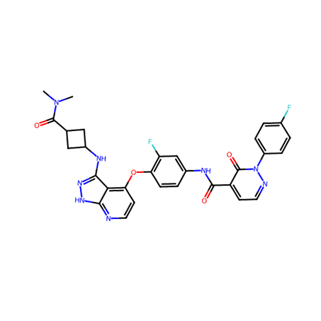 CN(C)C(=O)C1CC(Nc2n[nH]c3nccc(Oc4ccc(NC(=O)c5ccnn(-c6ccc(F)cc6)c5=O)cc4F)c23)C1